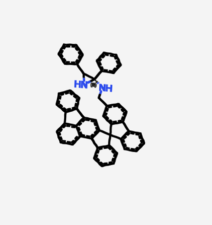 c1ccc(C2N[C@]2(NCc2ccc3c(c2)C2(c4ccccc4-3)c3ccccc3-c3c2cc2c4c(cccc34)-c3ccccc3-2)c2ccccc2)cc1